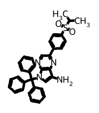 CC(C)S(=O)(=O)c1ccc(-c2cnc3c(n2)c(N)cn3C(c2ccccc2)(c2ccccc2)c2ccccc2)cc1